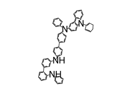 C1=CC(n2c3ccccc3c3cc(N(c4ccccc4)c4ccc(-c5ccc(Nc6cccc(-c7ccccc7Nc7ccccc7)c6)cc5)cc4)ccc32)=CCC1